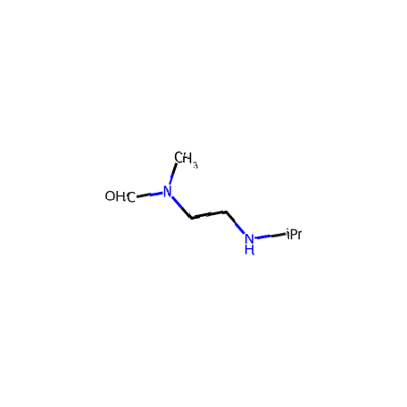 CC(C)NCCN(C)C=O